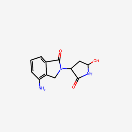 Nc1cccc2c1CN(C1CC(O)NC1=O)C2=O